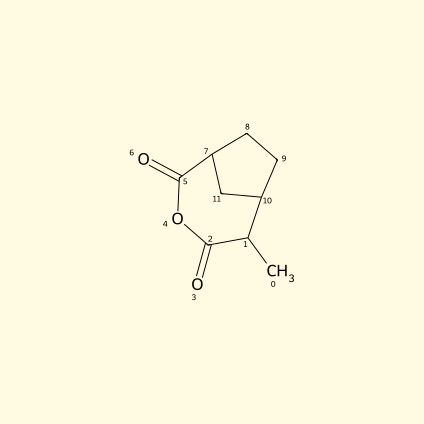 CC1C(=O)OC(=O)C2CCC1C2